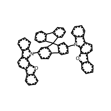 c1ccc2c(c1)-c1ccccc1C21c2cc(-n3c4ccccc4c4ccc5c6ccccc6oc5c43)ccc2-c2ccc(-n3c4ccccc4c4ccc5c6ccccc6oc5c43)cc21